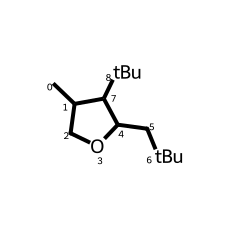 CC1COC(CC(C)(C)C)C1C(C)(C)C